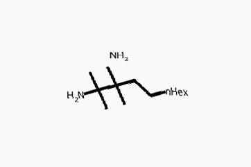 CCCCCCCCC(C)(C)C(C)(C)N.N